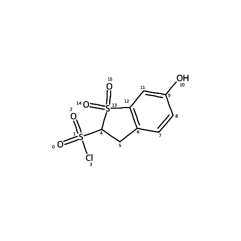 O=S(=O)(Cl)C1Cc2ccc(O)cc2S1(=O)=O